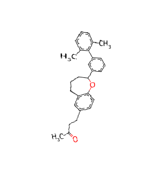 CC(=O)CCc1ccc2c(c1)CCCC(c1cccc(-c3c(C)cccc3C)c1)O2